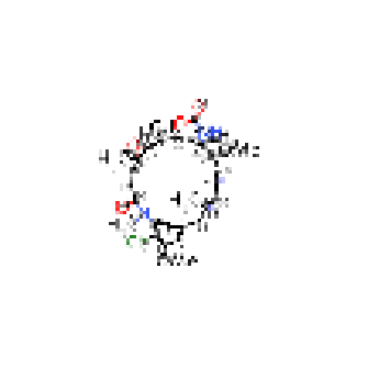 COc1cc2cc(c1Cl)N(C)C(=O)CC[C@]1(C)O[C@H]1[C@H](C)C1C[C@@](C)(NC(=O)O1)[C@H](OC)/C=C/C=C(\C)C2